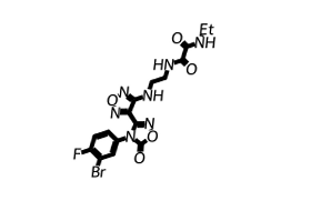 CCNC(=O)C(=O)NCCNc1nonc1-c1noc(=O)n1-c1ccc(F)c(Br)c1